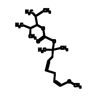 CO/C=C\C/C=C\CC(C)(C)OC(=O)OC(C(C)C)C(C)C